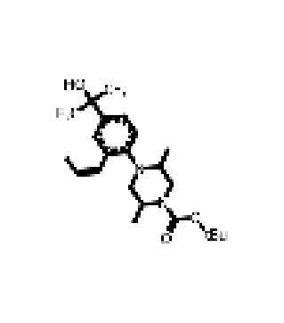 C/C=C\c1cc(C(O)(C(F)(F)F)C(F)(F)F)ccc1N1CC(C)N(C(=O)OC(C)(C)C)CC1C